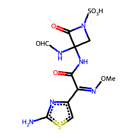 CO/N=C(\C(=O)NC1(NC=O)CN(S(=O)(=O)O)C1=O)c1csc(N)n1